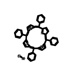 C1=Cc2nc1c(-c1ccccc1)c1ccc([nH]1)c(-c1ccccc1)c1nc(c(-c3ccccc3)c3ccc([nH]3)c2-c2ccccc2)C=C1.[Al][Cl]